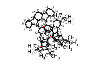 CC(C)(C)c1ccc(N(c2ccc(-n3c4ccccc4c4ccc5c6ccccc6n(-c6cc7c8c(c6)-n6c9ccc(C(C)(C)C)cc9c9cc(C(C)(C)C)cc(c96)B8c6cc(C(C)(C)C)ccc6O7)c5c43)cc2)c2ccc(C(C)(C)C)cc2)cc1